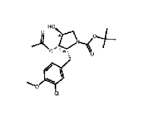 COc1ccc(C[C@@H]2[C@H](OC(C)=O)[C@@H](O)CN2C(=O)OC(C)(C)C)cc1Cl